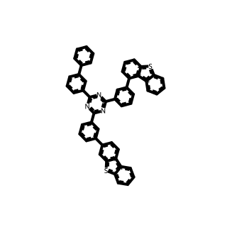 c1ccc(-c2cccc(-c3nc(-c4cccc(-c5ccc6c(c5)sc5ccccc56)c4)nc(-c4cccc(-c5cccc6sc7ccccc7c56)c4)n3)c2)cc1